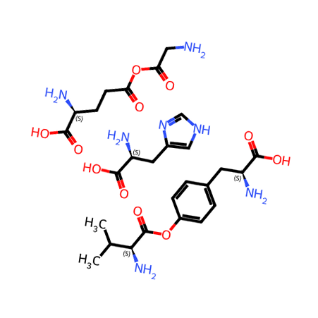 CC(C)[C@H](N)C(=O)Oc1ccc(C[C@H](N)C(=O)O)cc1.NCC(=O)OC(=O)CC[C@H](N)C(=O)O.N[C@@H](Cc1c[nH]cn1)C(=O)O